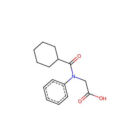 O=C(O)CN(C(=O)C1CCCCC1)c1ccccc1